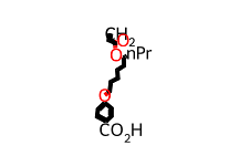 C=CC(=O)OC(CCC)CCCCCOc1ccc(C(=O)O)cc1